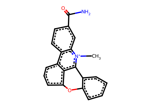 C[n+]1c2c3c(cccc3c3ccc(C(N)=O)cc31)Oc1ccccc1-2